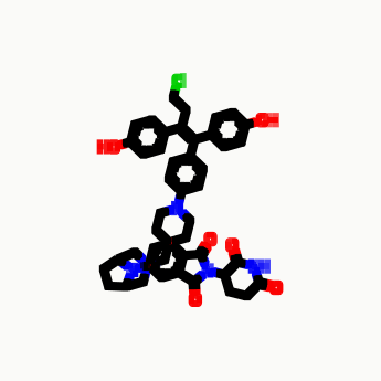 O=C1CCC(N2C(=O)c3ccc(N4C5CCC4CN(CC4CCN(c6ccc(C(=C(CCCl)c7ccc(O)cc7)c7ccc(O)cc7)cc6)CC4)C5)cc3C2=O)C(=O)N1